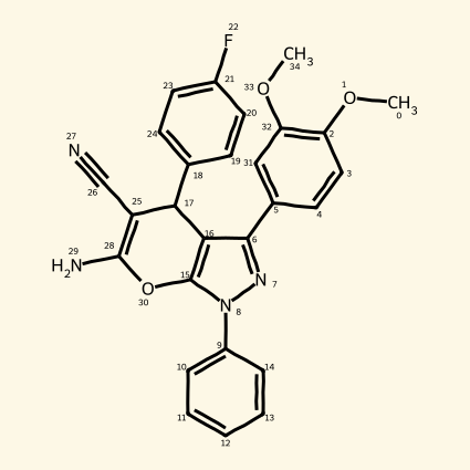 COc1ccc(-c2nn(-c3ccccc3)c3c2C(c2ccc(F)cc2)C(C#N)=C(N)O3)cc1OC